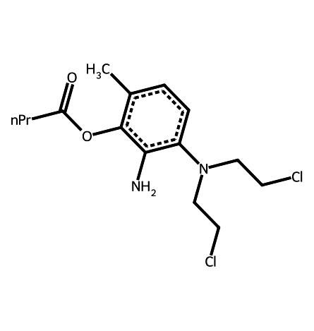 CCCC(=O)Oc1c(C)ccc(N(CCCl)CCCl)c1N